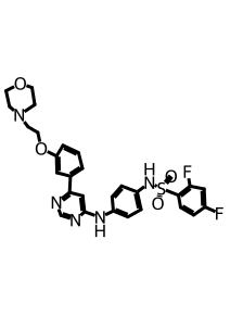 O=S(=O)(Nc1ccc(Nc2cc(-c3cccc(OCCN4CCOCC4)c3)ncn2)cc1)c1ccc(F)cc1F